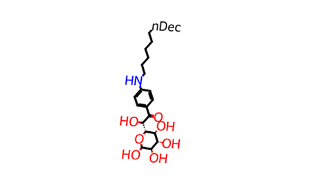 CCCCCCCCCCCCCCCCNc1ccc(C(=O)C(O)[C@H]2OC(O)[C@H](O)[C@@H](O)[C@@H]2O)cc1